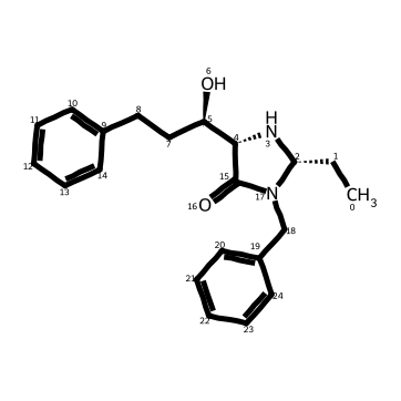 CC[C@H]1N[C@@H]([C@H](O)CCc2ccccc2)C(=O)N1Cc1ccccc1